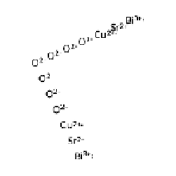 [Bi+3].[Bi+3].[Cu+2].[Cu+2].[O-2].[O-2].[O-2].[O-2].[O-2].[O-2].[O-2].[Sr+2].[Sr+2]